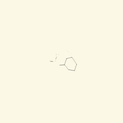 [Ba+2].[O-]P([O-])OC1CCCCC1